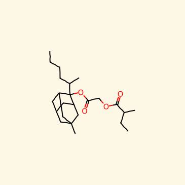 CCCCC(C)C1(OC(=O)COC(=O)C(C)CC)C2CC3CC1CC(C)(C3)C2